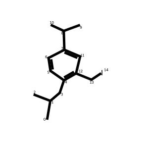 CC(C)Cc1ccc(C(C)C)cc1CI